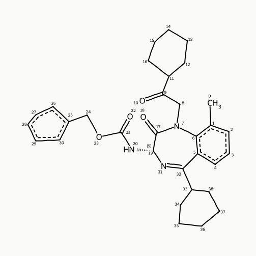 Cc1cccc2c1N(CC(=O)C1CCCCC1)C(=O)[C@@H](NC(=O)OCc1ccccc1)N=C2C1CCCCC1